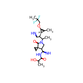 CC1=C(OCC(C)(F)F)[C@@H]1C(C=N)C(C)N1CC(C(=N)NC(=O)[C@@H](C)O)C2(C=C2)C1=O